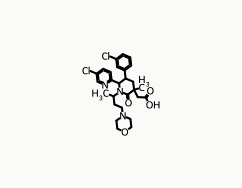 CC(CCN1CCOCC1)N1C(=O)C(C)(CC(=O)O)CC(c2cccc(Cl)c2)C1c1ccc(Cl)cn1